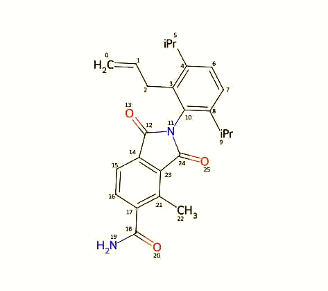 C=CCc1c(C(C)C)ccc(C(C)C)c1N1C(=O)c2ccc(C(N)=O)c(C)c2C1=O